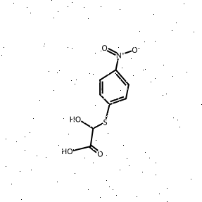 O=C(O)C(O)Sc1ccc([N+](=O)[O-])cc1